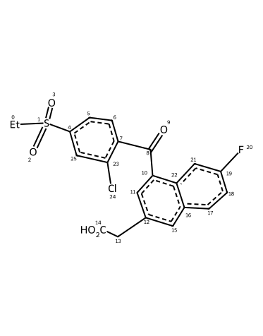 CCS(=O)(=O)c1ccc(C(=O)c2cc(CC(=O)O)cc3ccc(F)cc23)c(Cl)c1